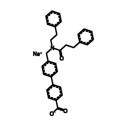 O=C([O-])c1ccc(-c2ccc(CN(CCc3ccccc3)C(=O)CCc3ccccc3)cc2)cc1.[Na+]